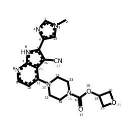 Cn1cnc(-c2[nH]c3nccc(N4CCN(C(=O)OC5COC5)CC4)c3c2C#N)c1